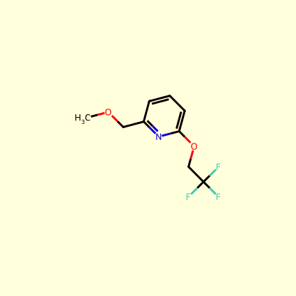 COCc1cccc(OCC(F)(F)F)n1